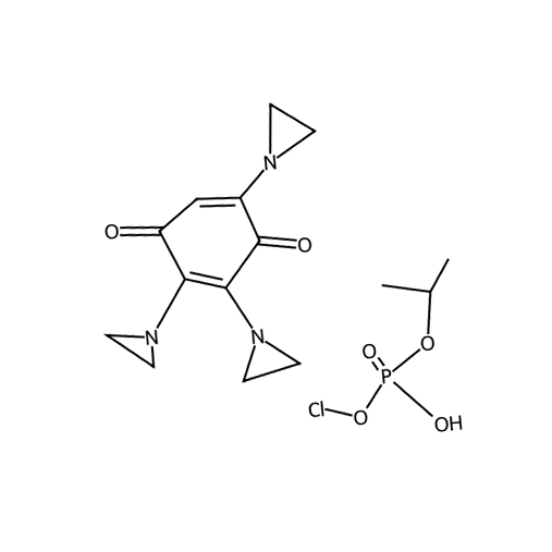 CC(C)OP(=O)(O)OCl.O=C1C=C(N2CC2)C(=O)C(N2CC2)=C1N1CC1